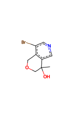 CC1(O)COCc2c(Br)cncc21